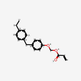 C=CC(=O)OCOc1ccc(Cc2ccc(CC)cc2)cc1